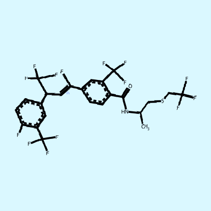 CC(CSCC(F)(F)F)NC(=O)c1ccc(/C(F)=C/C(c2ccc(F)c(C(F)(F)F)c2)C(F)(F)F)cc1C(F)(F)F